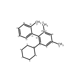 Cc1cc(C2CCCCC2)c(-c2ccccc2C)[n+](C)c1